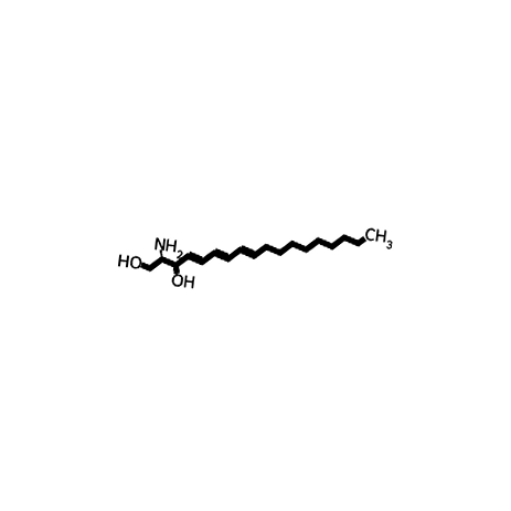 CCCCCCCCC/C=C/C=C/C=C/C(O)[C@@H](N)CO